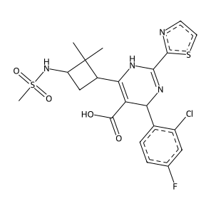 CC1(C)C(NS(C)(=O)=O)CC1C1=C(C(=O)O)C(c2ccc(F)cc2Cl)N=C(c2nccs2)N1